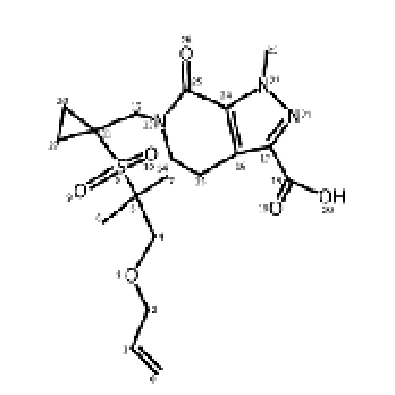 C=CCOCC(C)(C)S(=O)(=O)C1(CN2CCc3c(C(=O)O)nn(C)c3C2=O)CC1